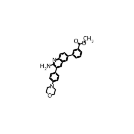 COC(=O)c1cccc(-c2ccc3nc(N)c(-c4ccc(N5CCOCC5)cc4)cc3c2)c1